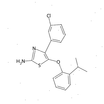 CC(C)c1ccccc1Oc1sc(N)nc1-c1cccc(Cl)c1